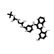 CC(C)(C)OC(=O)NCC(=O)Nc1cc(Nc2cc(-c3cc(Cl)ccc3F)nc3ccccc23)ccn1